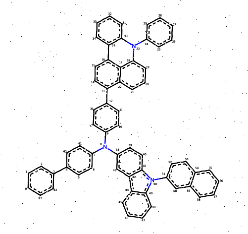 c1ccc(-c2ccc(N(c3ccc(-c4ccc5c6c(cccc46)N(c4ccccc4)c4ccccc4-5)cc3)c3ccc4c(c3)c3ccccc3n4-c3ccc4ccccc4c3)cc2)cc1